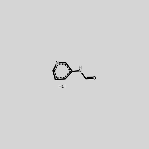 Cl.O=CNc1cccnc1